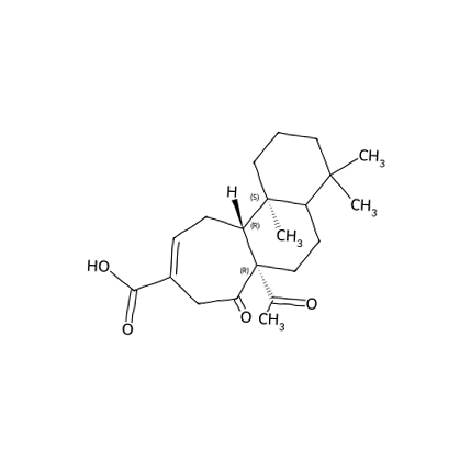 CC(=O)[C@@]12CCC3C(C)(C)CCC[C@]3(C)[C@H]1CC=C(C(=O)O)CC2=O